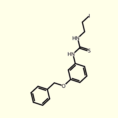 S=C(NCCI)Nc1cccc(OCc2ccccc2)c1